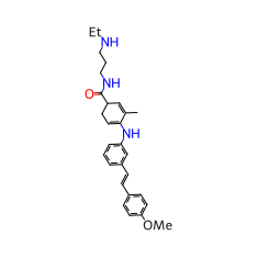 CCNCCCNC(=O)C1C=C(C)C(Nc2cccc(/C=C/c3ccc(OC)cc3)c2)=CC1